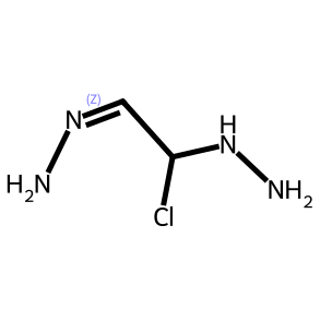 N/N=C\C(Cl)NN